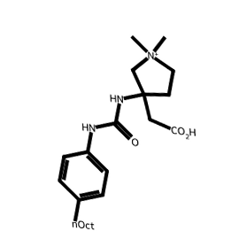 CCCCCCCCc1ccc(NC(=O)NC2(CC(=O)O)CC[N+](C)(C)C2)cc1